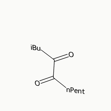 CCCCCC(=O)C(=O)C(C)CC